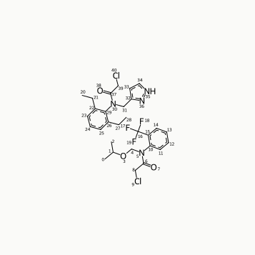 CC(C)OCN(C(=O)CCl)c1ccccc1C(F)(F)F.CCc1cccc(CC)c1N(Cc1cc[nH]n1)C(=O)CCl